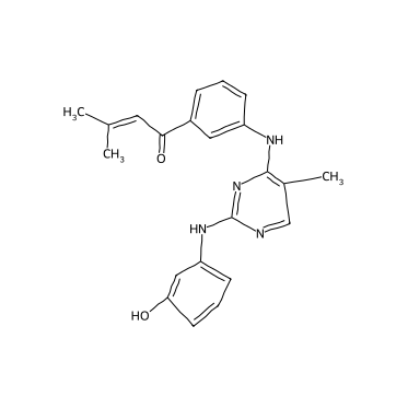 CC(C)=CC(=O)c1cccc(Nc2nc(Nc3cccc(O)c3)ncc2C)c1